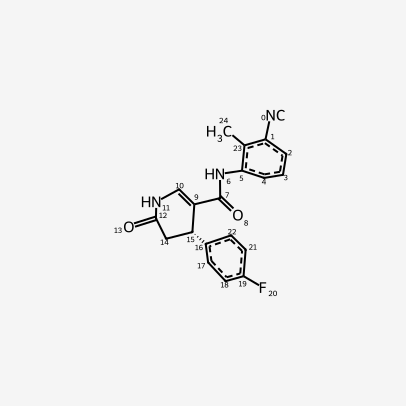 [C-]#[N+]c1cccc(NC(=O)C2=CNC(=O)C[C@H]2c2ccc(F)cc2)c1C